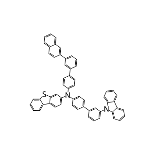 c1cc(-c2ccc(N(c3ccc(-c4cccc(-n5c6ccccc6c6ccccc65)c4)cc3)c3ccc4c(c3)sc3ccccc34)cc2)cc(-c2ccc3ccccc3c2)c1